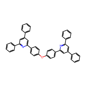 c1ccc(-c2cc(-c3ccccc3)nc(-c3ccc(Oc4ccc(-c5cc(-c6ccccc6)cc(-c6ccccc6)n5)cc4)cc3)c2)cc1